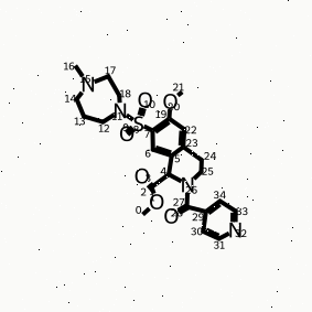 COC(=O)C1c2cc(S(=O)(=O)N3CCCN(C)CC3)c(OC)cc2CCN1C(=O)c1ccncc1